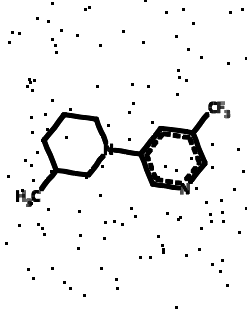 CC1CCCN(c2cncc(C(F)(F)F)c2)C1